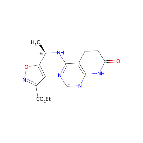 CCOC(=O)c1cc([C@@H](C)Nc2ncnc3c2CCC(=O)N3)on1